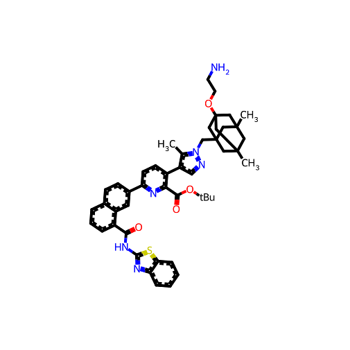 Cc1c(-c2ccc(-c3ccc4cccc(C(=O)Nc5nc6ccccc6s5)c4c3)nc2C(=O)OC(C)(C)C)cnn1CC12CC3(C)CC(C)(C1)CC(OCCN)(C3)C2